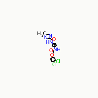 Cc1cnc(C(=O)NC23CCC(NC(=O)COc4ccc(Cl)c(Cl)c4)(C2)C3)cn1